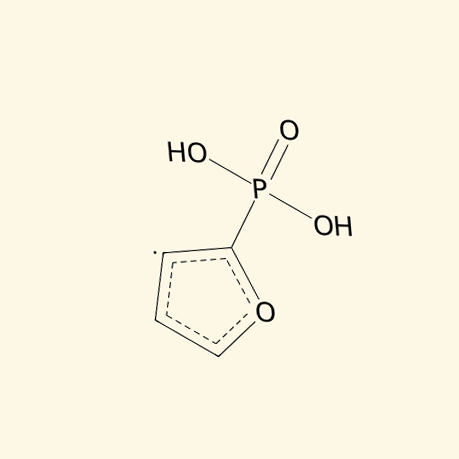 O=P(O)(O)c1[c]cco1